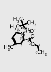 CCOC(=O)[C@@H]1CC(C)=CCN1[S@@+]([O-])C(C)(C)C